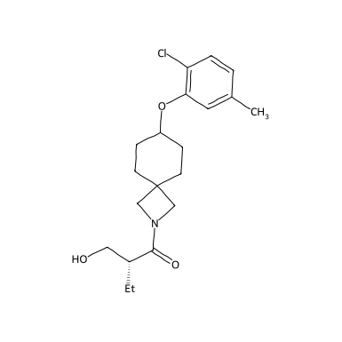 CC[C@H](CO)C(=O)N1CC2(CCC(Oc3cc(C)ccc3Cl)CC2)C1